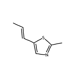 C/C=C/c1cnc(C)s1